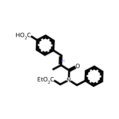 CCOC(=O)CN(Cc1ccccc1)C(=O)/C(C)=C/c1ccc(C(=O)O)cc1